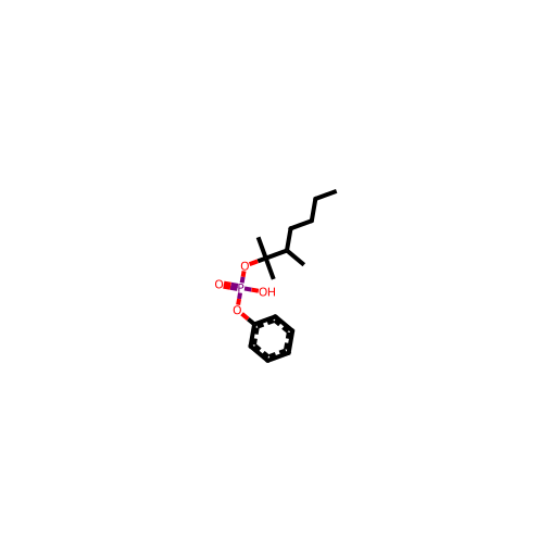 CCCCC(C)C(C)(C)OP(=O)(O)Oc1ccccc1